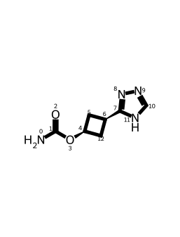 NC(=O)O[C@H]1C[C@@H](c2nnc[nH]2)C1